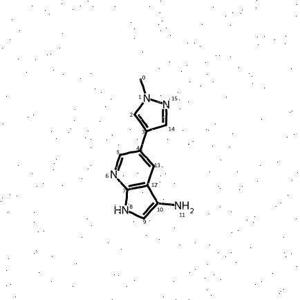 Cn1cc(-c2cnc3[nH]cc(N)c3c2)cn1